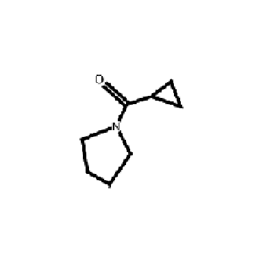 O=C(C1CC1)N1C[CH]CC1